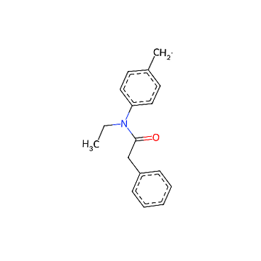 [CH2]c1ccc(N(CC)C(=O)Cc2ccccc2)cc1